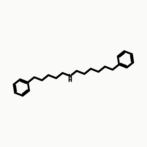 c1ccc(CCCCCCNCCCCCc2ccccc2)cc1